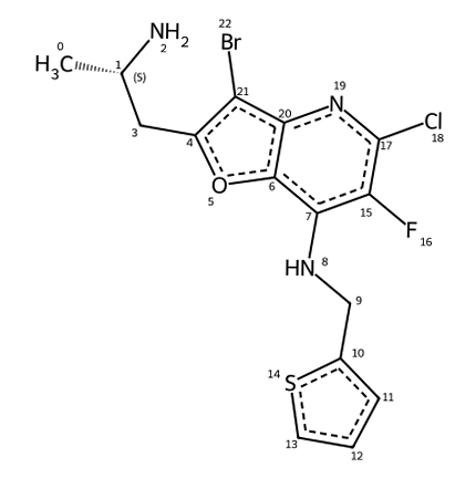 C[C@H](N)Cc1oc2c(NCc3cccs3)c(F)c(Cl)nc2c1Br